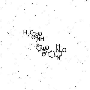 C=CS(=O)(=O)NC[C@H]1CCN(S(=O)(=O)c2ccc3ncc(=O)[nH]c3c2)C1